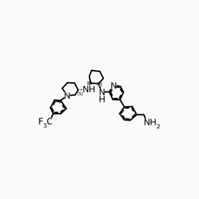 NCc1cccc(-c2ccnc(N[C@@H]3CCCC[C@H]3N[C@H]3CCCN(c4ccc(C(F)(F)F)cc4)C3)c2)c1